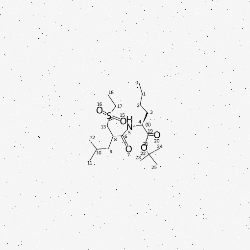 CCCC[C@H](NC(=O)C(CC(C)C)CS(=O)(=O)CC)C(=O)OC(C)(C)C